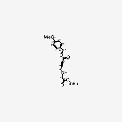 CCCCOC(=O)CNCC#CC(=O)OCc1ccc(OC)cc1